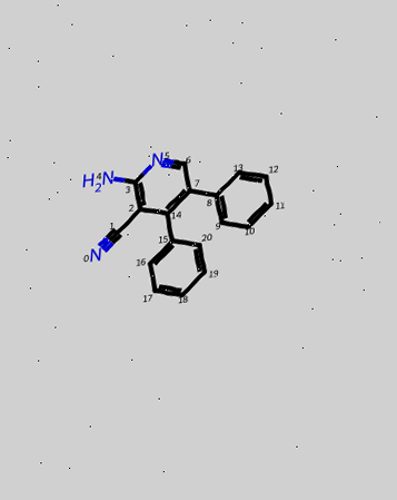 N#Cc1c(N)ncc(-c2ccccc2)c1-c1ccccc1